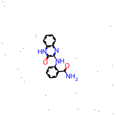 NC(=O)c1ccccc1Nc1nc2ccccc2[nH]c1=O